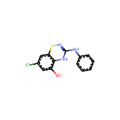 Oc1cc(Cl)cc2c1NC(Nc1ccccc1)=NS2